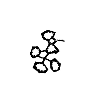 In1c2ccccc2c2c3c(ccc21)C(c1ccccc1)(c1ccccc1)c1ccccc1-3